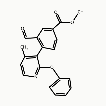 COC(=O)c1ccc(-c2c(C)ccnc2Oc2ccccc2)c(C=O)c1